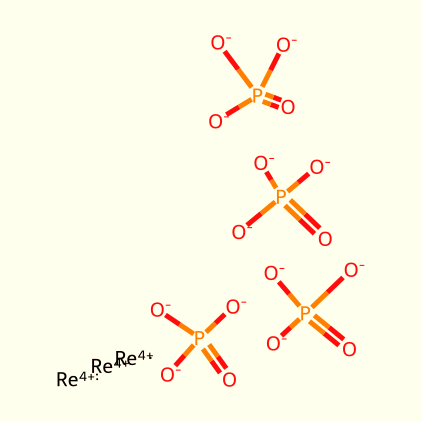 O=P([O-])([O-])[O-].O=P([O-])([O-])[O-].O=P([O-])([O-])[O-].O=P([O-])([O-])[O-].[Re+4].[Re+4].[Re+4]